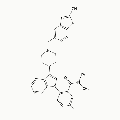 CC(C)N(C)C(=O)c1cc(F)ccc1-n1cc(C2CCN(Cc3ccc4[nH]c(C#N)cc4c3)CC2)c2ccncc21